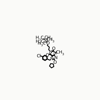 Cn1c(=O)n(CCCO[Si](C)(C)C(C)(C)C)c(=O)c2c1nc(OC1CCCC1)n2Cc1ccc(Cl)cc1